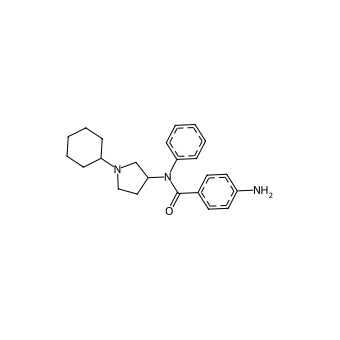 Nc1ccc(C(=O)N(c2ccccc2)C2CCN(C3CCCCC3)C2)cc1